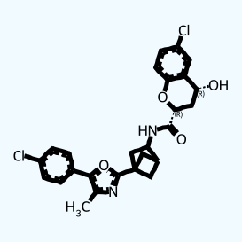 Cc1nc(C23CC(C2)C(NC(=O)[C@H]2C[C@@H](O)c4cc(Cl)ccc4O2)C3)oc1-c1ccc(Cl)cc1